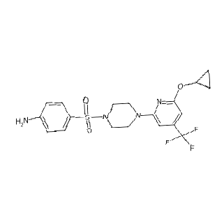 Nc1ccc(S(=O)(=O)N2CCN(c3cc(C(F)(F)F)cc(OC4CC4)n3)CC2)cc1